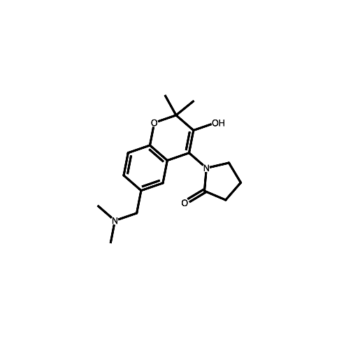 CN(C)Cc1ccc2c(c1)C(N1CCCC1=O)=C(O)C(C)(C)O2